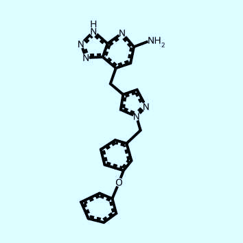 Nc1cc(Cc2cnn(Cc3cccc(Oc4ccccc4)c3)c2)c2nn[nH]c2n1